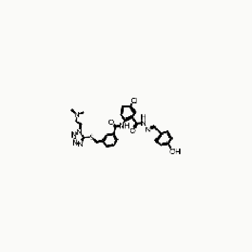 CN(C)CCn1nnnc1SCc1cccc(C(=O)Nc2ccc(Cl)cc2C(=O)NN=Cc2ccc(O)cc2)c1